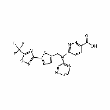 O=C(O)c1ccc(N(Cc2ccc(-c3noc(C(F)(F)F)n3)s2)c2cnccn2)nn1